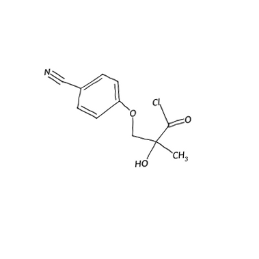 CC(O)(COc1ccc(C#N)cc1)C(=O)Cl